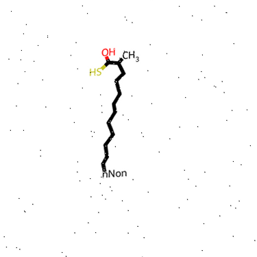 CCCCCCCCCCCCCCCCCCCC(C)C(O)S